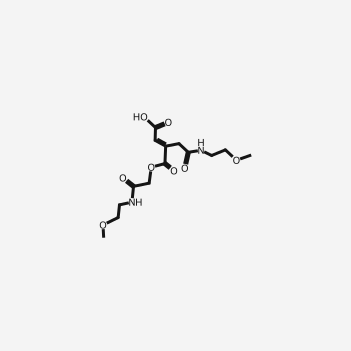 COCCNC(=O)COC(=O)C(=CC(=O)O)CC(=O)NCCOC